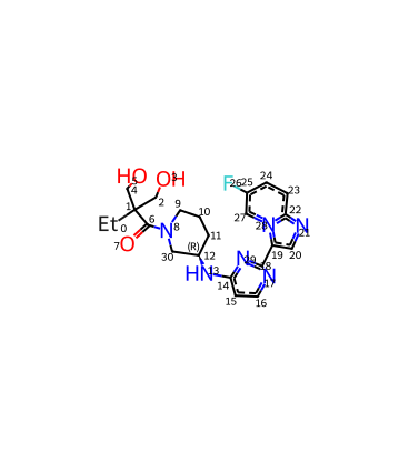 CCC(CO)(CO)C(=O)N1CCC[C@@H](Nc2ccnc(-c3cnc4ccc(F)cn34)n2)C1